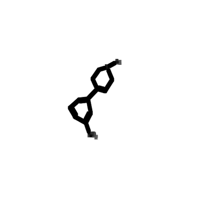 CC(=O)N1CC=C(c2cc[c]c([N+](=O)[O-])c2)CC1